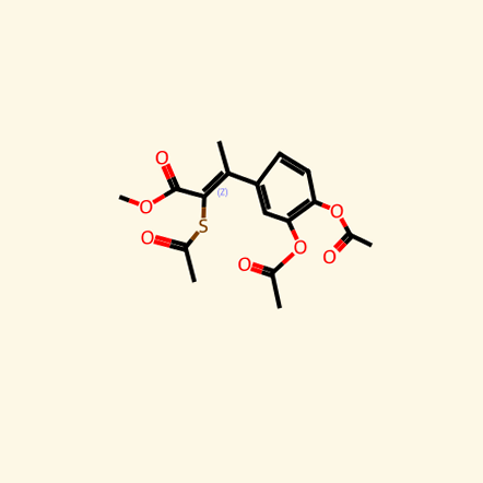 COC(=O)/C(SC(C)=O)=C(\C)c1ccc(OC(C)=O)c(OC(C)=O)c1